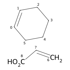 C1=CCCCC1.C=CC(=O)O